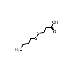 CCCCSSCCC(=O)O